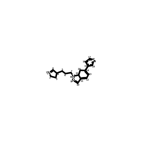 C1=NCCC1CCCN1N=CC2=CC=C(c3ccsc3)CC21